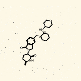 C=C1CCC(N2Cc3cc(C[C@H]4CCCC[C@@H]4NC4CCOCC4)ccc3C2=O)C(=O)N1